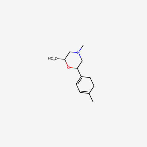 [CH2]C1=CC=C(C2CN(C)CC(C(=O)O)O2)CC1